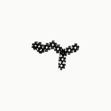 c1ccc(-c2ccc(-c3nc(-c4ccc(-c5ccccc5)cc4)nc(-c4ccc(-c5cccc(-c6ccc(-c7cccc8c7ccc7cccnc78)cc6)c5)cc4)n3)cc2)cc1